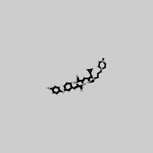 CN1CCN(CCCn2cnc(/C=c3\[nH]c(=O)/c(=C/c4cccc(Oc5ccc(F)cc5)c4)[nH]c3=O)c2C2CC2)CC1